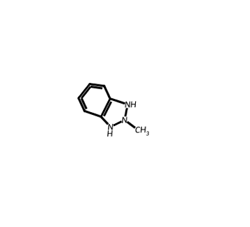 CN1NC2=C(C=C=C=C2)N1